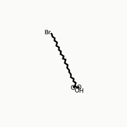 O=C(O)C(=O)CCCCCCCCCCCCCCCCCCCCCCCBr